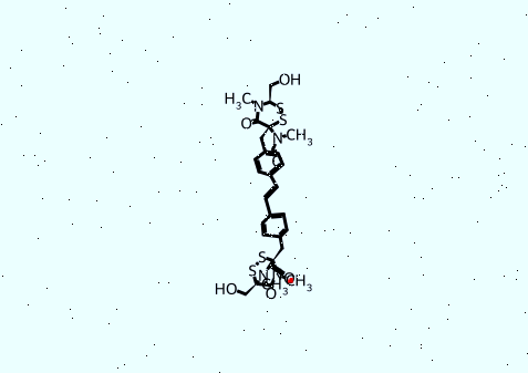 CN1C(=O)[C@@](Cc2ccc(/C=C/c3ccc(C[C@@]45SS[C@@](CO)(C(=O)N4C)N(C)C5=O)cc3)cc2)(N(C)C=O)SS[C@@H]1CO